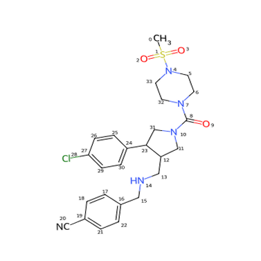 CS(=O)(=O)N1CCN(C(=O)N2CC(CNCc3ccc(C#N)cc3)C(c3ccc(Cl)cc3)C2)CC1